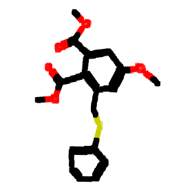 COC(=O)c1cc(OC)cc(CSc2ccccc2)c1C(=O)OC